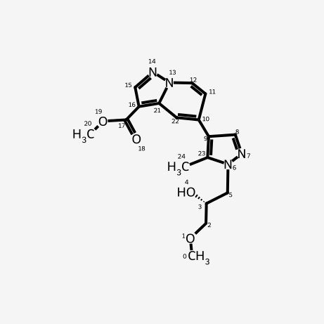 COC[C@H](O)Cn1ncc(-c2ccn3ncc(C(=O)OC)c3c2)c1C